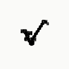 CCCCCCCCCC=CCCCNc1ccccc1CCC(=O)OCC(O)CO